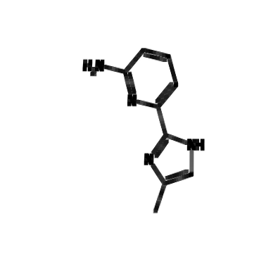 Cc1c[nH]c(-c2cccc(N)n2)n1